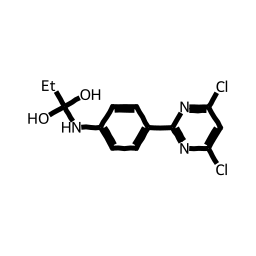 CCC(O)(O)Nc1ccc(-c2nc(Cl)cc(Cl)n2)cc1